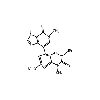 COc1cc(-c2cn(C)c(=O)c3[nH]ccc23)c2c(c1)N(C)C(=O)C(C(C)C)O2